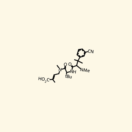 CNC(C(=O)NC(C(=O)N(C)C/C=C(\C)C(=O)O)C(C)(C)C)C(C)(C)c1cccc(C#N)c1